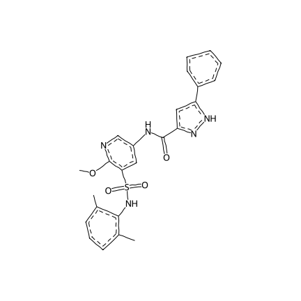 COc1ncc(NC(=O)c2cc(-c3ccccc3)[nH]n2)cc1S(=O)(=O)Nc1c(C)cccc1C